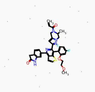 C=CC(=O)N1Cc2cc(-c3nc(-c4ccc5c(c4)NC(=O)C5)c4ccsc4c3-c3c(F)cc(F)cc3OCCOC)nn2CC1C